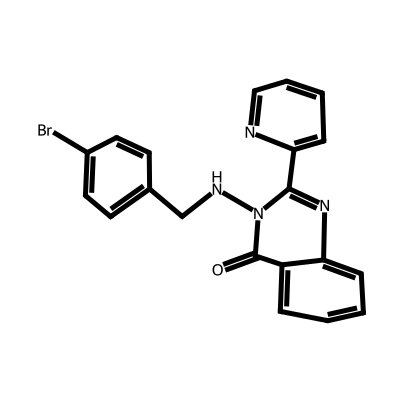 O=c1c2ccccc2nc(-c2ccccn2)n1NCc1ccc(Br)cc1